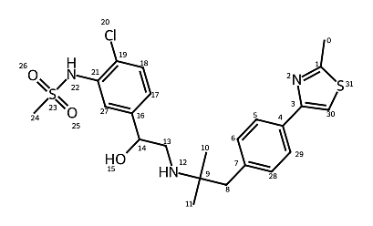 Cc1nc(-c2ccc(CC(C)(C)NCC(O)c3ccc(Cl)c(NS(C)(=O)=O)c3)cc2)cs1